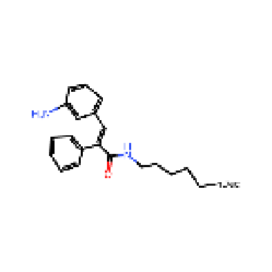 CCCCCCCCCCCCCCCNC(=O)/C(=C/c1cccc(N)c1)c1ccccc1